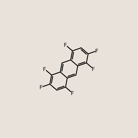 Fc1cc(F)c2cc3c(F)c(F)cc(F)c3cc2c1F